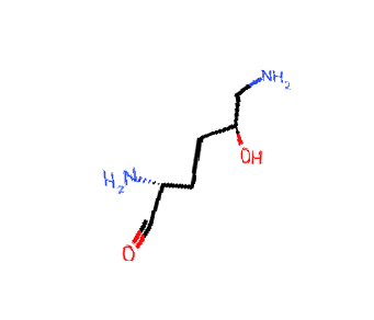 NC[C@@H](O)CC[C@@H](N)C=O